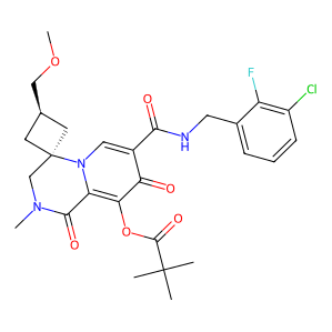 COC[C@H]1C[C@]2(CN(C)C(=O)c3c(OC(=O)C(C)(C)C)c(=O)c(C(=O)NCc4cccc(Cl)c4F)cn32)C1